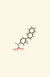 CC(C(=O)O)c1ccc(-c2ccc3ccccc3c2)c(F)c1